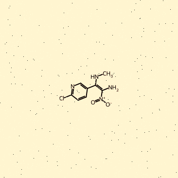 CNC(=C(N)[N+](=O)[O-])c1ccc(Cl)nc1